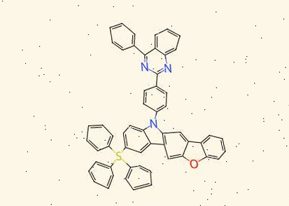 c1ccc(-c2nc(-c3ccc(-n4c5ccc(S(c6ccccc6)(c6ccccc6)c6ccccc6)cc5c5cc6oc7ccccc7c6cc54)cc3)nc3ccccc23)cc1